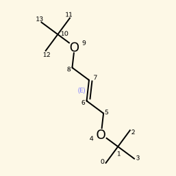 CC(C)(C)OC/C=C/COC(C)(C)C